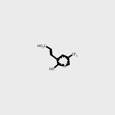 O=C(O)C=Cc1cc(C(F)(F)F)cnc1O